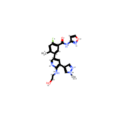 Cc1cc(F)c(C(=O)Nc2ccon2)cc1-c1cnc(NCCO)c(-c2cnn(C)c2)c1